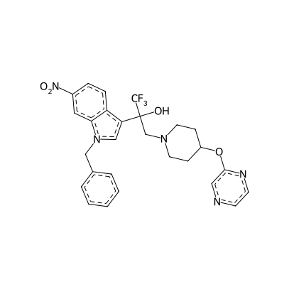 O=[N+]([O-])c1ccc2c(C(O)(CN3CCC(Oc4cnccn4)CC3)C(F)(F)F)cn(Cc3ccccc3)c2c1